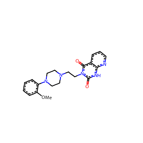 COc1ccccc1N1CCN(CCn2c(=O)[nH]c3ncccc3c2=O)CC1